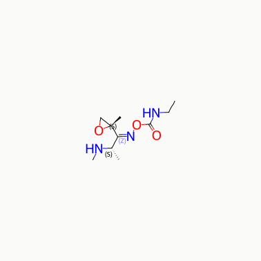 CCNC(=O)O/N=C(/[C@H](C)NC)[C@@]1(C)CO1